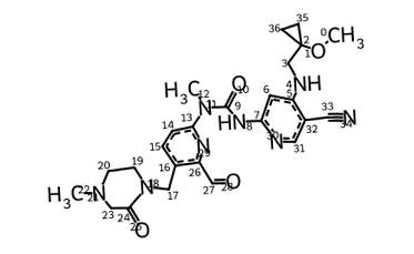 COC1(CNc2cc(NC(=O)N(C)c3ccc(CN4CCN(C)CC4=O)c(C=O)n3)ncc2C#N)CC1